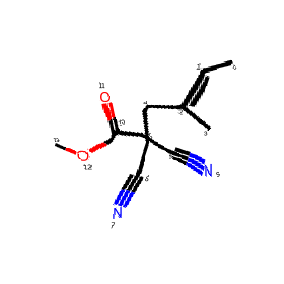 C/C=C(\C)CC(C#N)(C#N)C(=O)OC